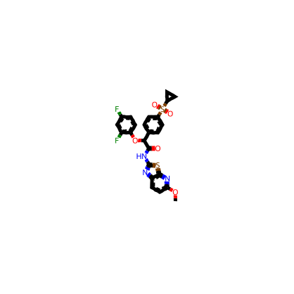 COc1ccc2nc(NC(=O)C(Oc3ccc(F)cc3F)c3ccc(S(=O)(=O)C4CC4)cc3)sc2n1